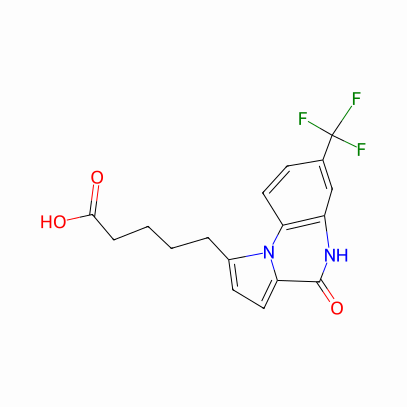 O=C(O)CCCCc1ccc2c(=O)[nH]c3cc(C(F)(F)F)ccc3n12